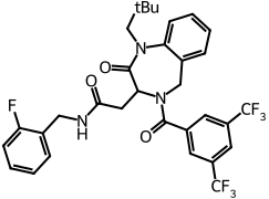 CC(C)(C)CN1C(=O)C(CC(=O)NCc2ccccc2F)N(C(=O)c2cc(C(F)(F)F)cc(C(F)(F)F)c2)Cc2ccccc21